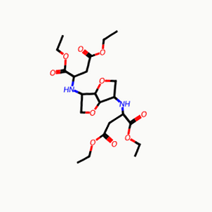 CCOC(=O)CC(NC1COC2C(NC(CC(=O)OCC)C(=O)OCC)COC12)C(=O)OCC